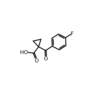 O=C(O)C1(C(=O)c2ccc(F)cc2)CC1